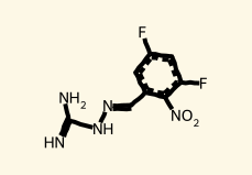 N=C(N)NN=Cc1cc(F)cc(F)c1[N+](=O)[O-]